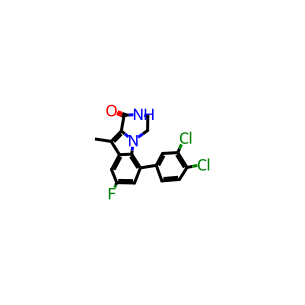 Cc1c2n(c3c(-c4ccc(Cl)c(Cl)c4)cc(F)cc13)CCNC2=O